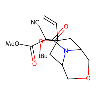 C=CC1(C(C#N)C(=O)OC)CC2COCC(C1)N2C(=O)OC(C)(C)C